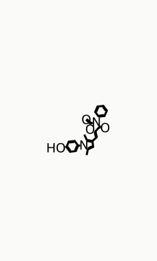 Cc1cc(C=C2OC(=O)N(c3ccccc3)C2=O)c(C)n1-c1ccc(O)cc1